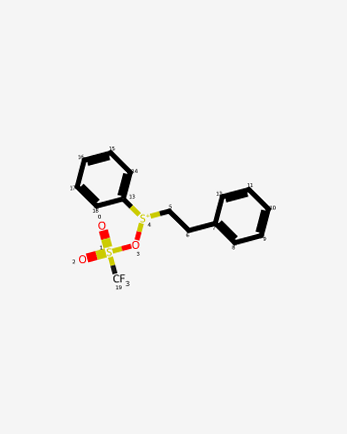 O=S(=O)(O[S+](CCc1ccccc1)c1ccccc1)C(F)(F)F